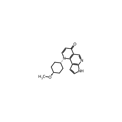 CO[C@H]1CC[C@H](n2ccc(=O)c3cnc4[nH]ccc4c32)CC1